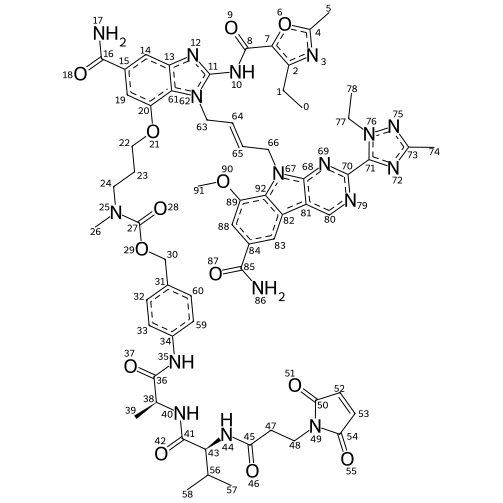 CCc1nc(C)oc1C(=O)Nc1nc2cc(C(N)=O)cc(OCCCN(C)C(=O)OCc3ccc(NC(=O)[C@H](C)NC(=O)[C@@H](NC(=O)CCN4C(=O)C=CC4=O)C(C)C)cc3)c2n1C/C=C/Cn1c2nc(-c3nc(C)nn3CC)ncc2c2cc(C(N)=O)cc(OC)c21